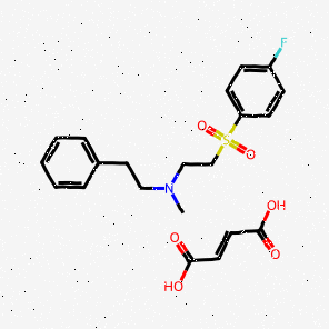 CN(CCc1ccccc1)CCS(=O)(=O)c1ccc(F)cc1.O=C(O)C=CC(=O)O